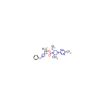 C[C@@H]1CN(c2cnc(C(F)(F)F)cn2)C[C@@H](C)N1C(=O)OC1(C)CC2(CN(Cc3ccccc3)C2)C1